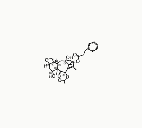 CC(=O)O[C@H]1C(=O)[C@@]2(C)[C@H](C[C@]3(O)C[C@H](OC(=O)CCc4ccccc4)C(C)=C1C3(C)C)[C@@H]1CO[C@@H]1C[C@@H]2O